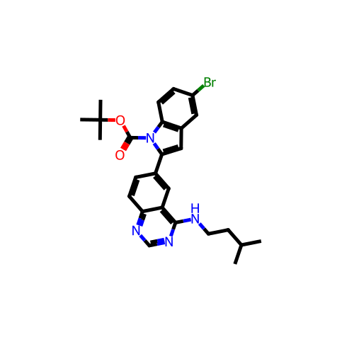 CC(C)CCNc1ncnc2ccc(-c3cc4cc(Br)ccc4n3C(=O)OC(C)(C)C)cc12